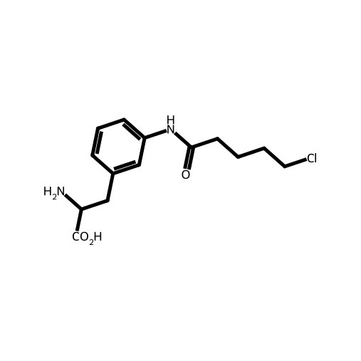 NC(Cc1cccc(NC(=O)CCCCCl)c1)C(=O)O